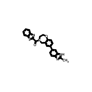 Cc1nc2ccc(-c3ccc4c(c3)CN(C(=O)c3nc5ccccc5s3)CCO4)cc2[nH]1